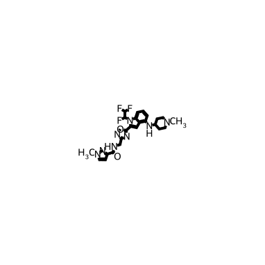 CN1CCC(Nc2cccc3c2cc(-c2nc(CNC(=O)c4ccn(C)n4)no2)n3C(F)C(F)F)CC1